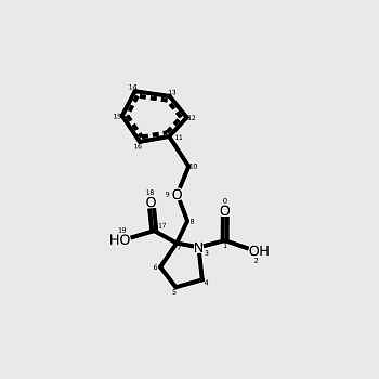 O=C(O)N1CCCC1(COCc1ccccc1)C(=O)O